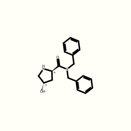 O=C([C@H]1C[C@H](O)CN1)N(Cc1ccccc1)Cc1ccccc1